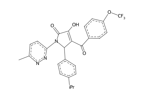 Cc1ccc(N2C(=O)C(O)=C(C(=O)c3ccc(OC(F)(F)F)cc3)C2c2ccc(C(C)C)cc2)nn1